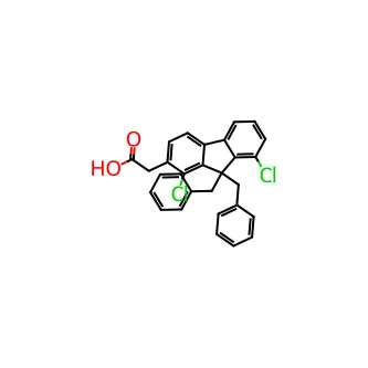 O=C(O)Cc1ccc2c(c1Cl)C(Cc1ccccc1)(Cc1ccccc1)c1c(Cl)cccc1-2